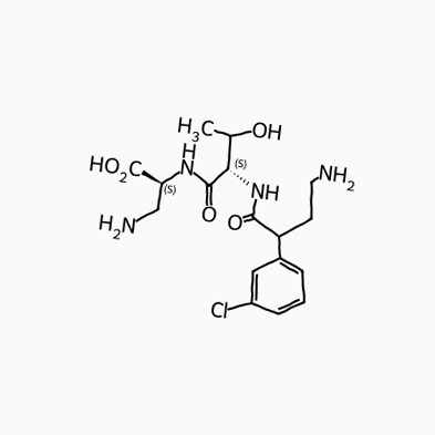 CC(O)[C@H](NC(=O)C(CCN)c1cccc(Cl)c1)C(=O)N[C@@H](CN)C(=O)O